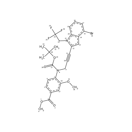 COC(=O)c1ccc(N(CC#Cc2cc3c(Br)cccc3n2CC(F)(F)F)C(=O)OC(C)(C)C)c(OC)c1